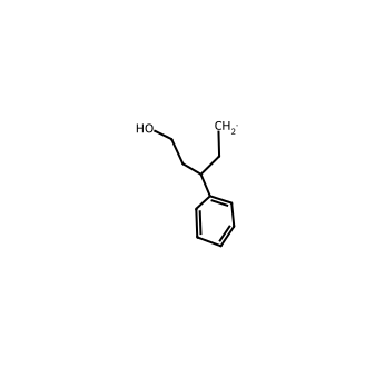 [CH2]CC(CCO)c1ccccc1